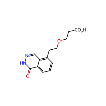 O=C(O)CCOCCc1cccc2c(=O)[nH]ncc12